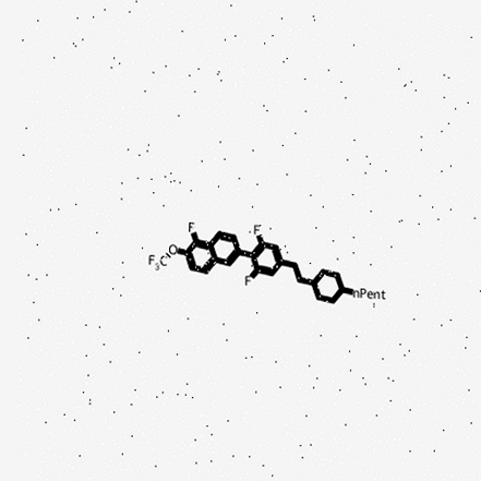 CCCCCC1CCC(CCc2cc(F)c(-c3ccc4c(F)c(OC(F)(F)F)ccc4c3)c(F)c2)CC1